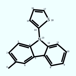 Cc1ccc2c(c1)c1ccccc1n2-c1cccs1